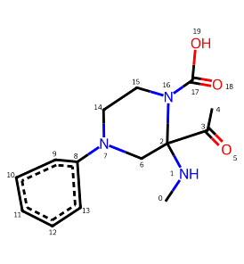 CNC1(C(C)=O)CN(c2ccccc2)CCN1C(=O)O